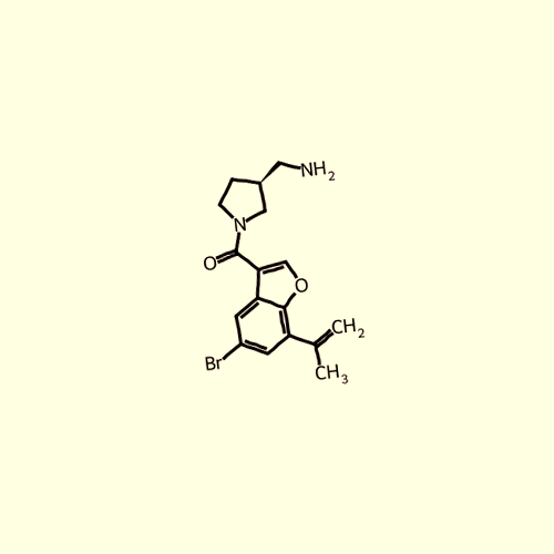 C=C(C)c1cc(Br)cc2c(C(=O)N3CC[C@@H](CN)C3)coc12